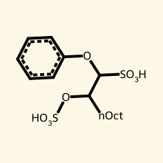 CCCCCCCCC(OS(=O)(=O)O)C(Oc1ccccc1)S(=O)(=O)O